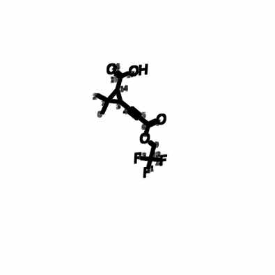 CC1(C)C(C#CC(=O)OCC(F)(F)F)C1C(=O)O